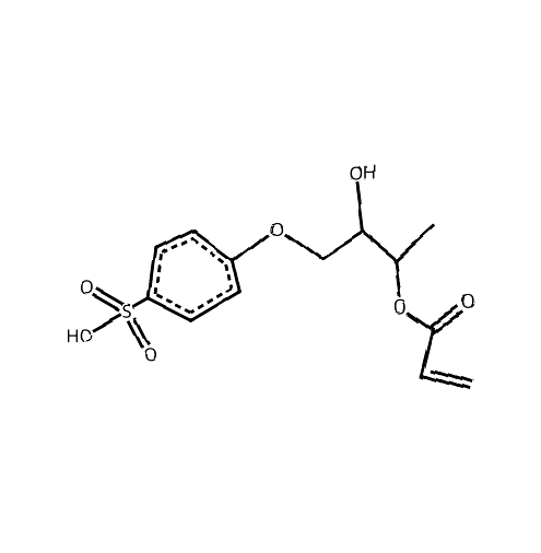 C=CC(=O)OC(C)C(O)COc1ccc(S(=O)(=O)O)cc1